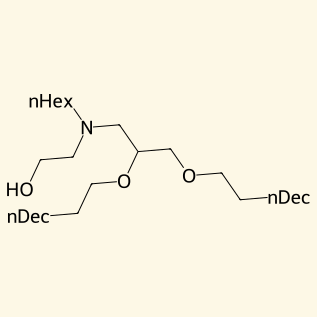 CCCCCCCCCCCCOCC(CN(CCO)CCCCCC)OCCCCCCCCCCCC